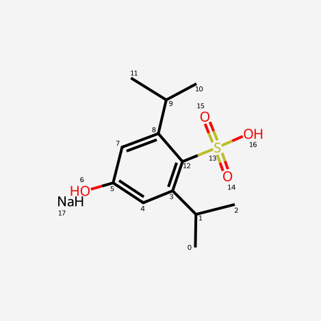 CC(C)c1cc(O)cc(C(C)C)c1S(=O)(=O)O.[NaH]